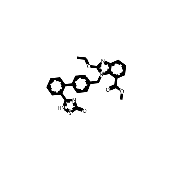 CCOc1nc2cccc(C(=O)OC)c2n1Cc1ccc(-c2ccccc2-c2nc(=O)s[nH]2)cc1